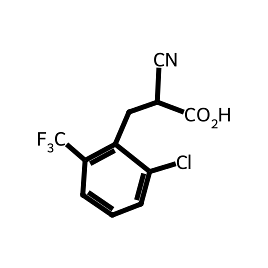 N#CC(Cc1c(Cl)cccc1C(F)(F)F)C(=O)O